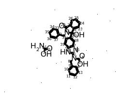 NC(=O)O.O=C(O)N(Cc1ccccc1)c1nc2cc(C3(O)c4ccccc4C(=O)N3Cc3ccccc3)ccc2[nH]1